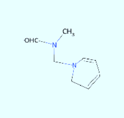 CN([C]=O)CN1C=CC=CC1